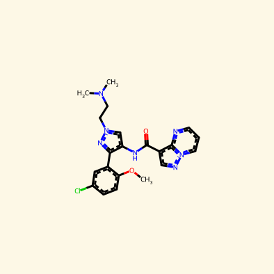 COc1ccc(Cl)cc1-c1nn(CCN(C)C)cc1NC(=O)c1cnn2cccnc12